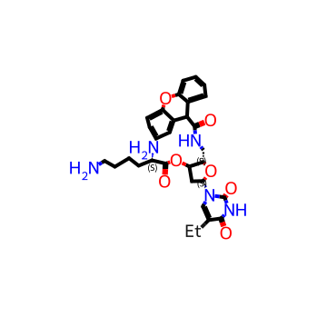 CCc1cn([C@@H]2CC(OC(=O)[C@@H](N)CCCCN)[C@H](CNC(=O)C3c4ccccc4Oc4ccccc43)O2)c(=O)[nH]c1=O